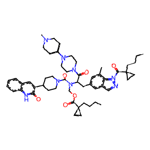 CCCCC1(C(=O)OCN(C(=O)N2CCC(c3cc4ccccc4[nH]c3=O)CC2)C(Cc2cc(C)c3c(cnn3C(=O)C3(CCCC)CC3)c2)C(=O)N2CCN(C3CCN(C)CC3)CC2)CC1